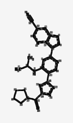 CC(C)Nc1cc(-c2ccc3cc(C#N)cnn23)ncc1-c1nnc(C(=O)N2CCCC2)s1